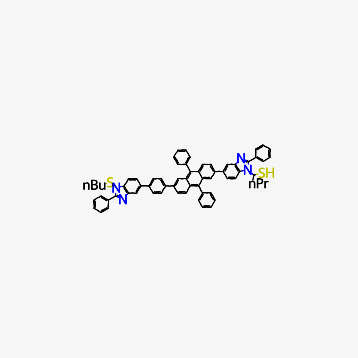 CCCCSn1c(-c2ccccc2)nc2cc(-c3ccc(-c4ccc5c(-c6ccccc6)c6cc(-c7ccc8c(c7)nc(-c7ccccc7)n8C(S)CCC)ccc6c(-c6ccccc6)c5c4)cc3)ccc21